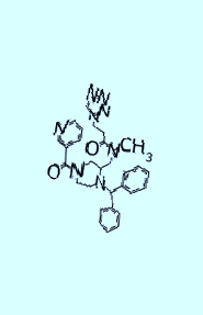 CN(CC1CN(C(=O)c2cccnc2)CCN1C(c1ccccc1)c1ccccc1)C(=O)CCn1cnnn1